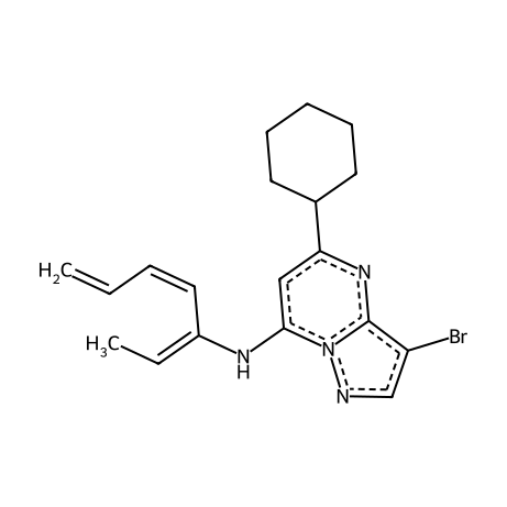 C=C/C=C\C(=C/C)Nc1cc(C2CCCCC2)nc2c(Br)cnn12